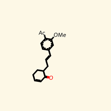 COc1cc(C=CCC2CCC=CC2=O)ccc1C(C)=O